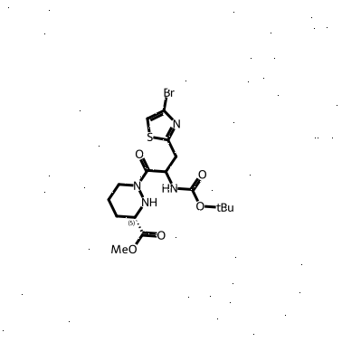 COC(=O)[C@@H]1CCCN(C(=O)C(Cc2nc(Br)cs2)NC(=O)OC(C)(C)C)N1